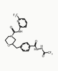 O=C(NNC(=O)C(F)(F)F)c1ccc(CC2CN(C(=O)Nc3cccc(C(F)(F)F)n3)CCO2)cc1